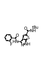 CC(C)(C)NC(=O)c1cc2c(NC(=O)c3ccccc3F)n[nH]c2s1